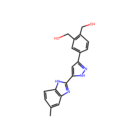 Cc1ccc2[nH]c(-c3cc(-c4ccc(CO)c(CO)c4)n[nH]3)nc2c1